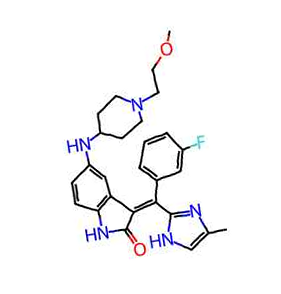 COCCN1CCC(Nc2ccc3c(c2)/C(=C(\c2cccc(F)c2)c2nc(C)c[nH]2)C(=O)N3)CC1